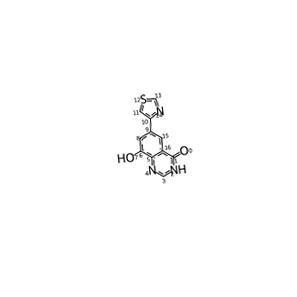 O=c1[nH]cnc2c(O)cc(-c3cscn3)cc12